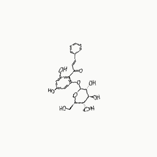 O=C(C=Cc1ccccc1)c1c(O)cc(O)cc1O[C@@H]1O[C@H](CO)[C@@H](O)[C@H](O)[C@H]1O